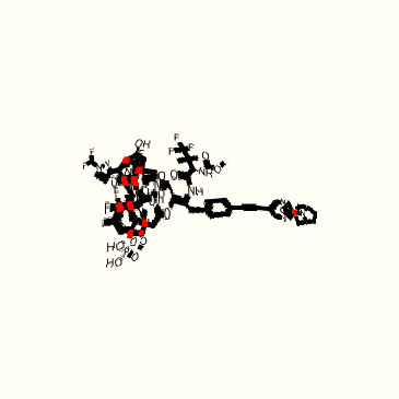 COC(=O)N[C@H](C(=O)N[C@@H](Cc1ccc(C#Cc2cnc(N3CC4CCC(C3)N4C3COC3)nc2)cc1)[C@H](CN(Cc1c(F)cc(-c2ccn(C(F)F)n2)cc1F)NC(=O)[C@@H](NC(=O)OC)C(C)(C)C(F)(F)F)OC(=O)CC(C)(C)c1c(CC(=O)N2C[C@@H](O)C[C@H]2C(=O)OC)cc(C)cc1OP(=O)(O)O)C(C)(C)C(F)(F)F